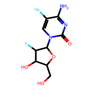 Nc1nc(=O)n(C2OC(CO)C(O)C2F)cc1[18F]